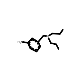 CCCN(CCC)Cc1cccc(N)c1